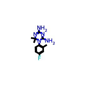 Cc1cc(F)ccc1N1C(N)=NC(N)=NC1(C)C